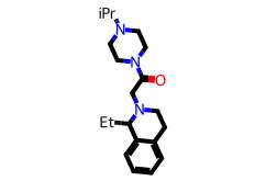 CCC1c2ccccc2CCN1CC(=O)N1CCN(C(C)C)CC1